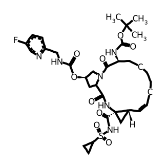 CC(C)(C)OC(=O)N[C@H]1CCCCC/C=C\[C@@H]2C[C@@]2(C(=O)NS(=O)(=O)C2CC2)NC(=O)C2C[C@@H](OC(=O)NCc3ccc(F)cn3)CN2C1=O